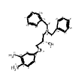 Nc1ccc(OC[C@@H](O)CN(Cc2ccccc2)Cc2ccccc2)cc1N